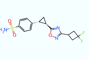 NS(=O)(=O)c1ccc([C@@H]2C[C@H]2c2nc(C3CC(F)(F)C3)no2)cc1